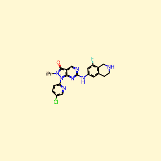 CC(C)n1c(=O)c2cnc(Nc3cc(F)c4c(c3)CCNC4)nc2n1-c1ccc(Cl)cn1